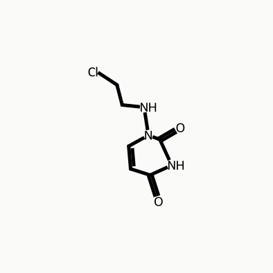 O=c1ccn(NCCCl)c(=O)[nH]1